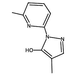 Cc1cccc(-n2ncc(C)c2O)n1